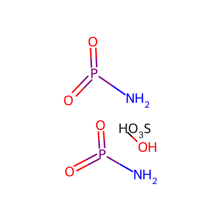 NP(=O)=O.NP(=O)=O.O=S(=O)(O)O